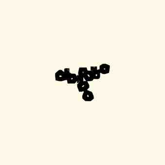 c1ccc(-c2ccc(N(c3ccc4c(c3)sc3ccccc34)c3cccc4c3ccc3oc(-c5ccccc5)nc34)cc2)cc1